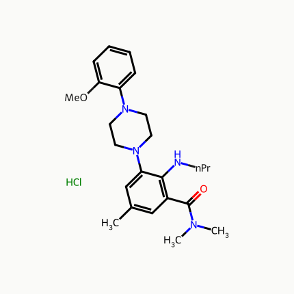 CCCNc1c(C(=O)N(C)C)cc(C)cc1N1CCN(c2ccccc2OC)CC1.Cl